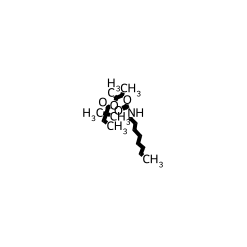 CCCCCCCCNC(=O)OC(C)C(C)OC(=O)C(C)(C)CC